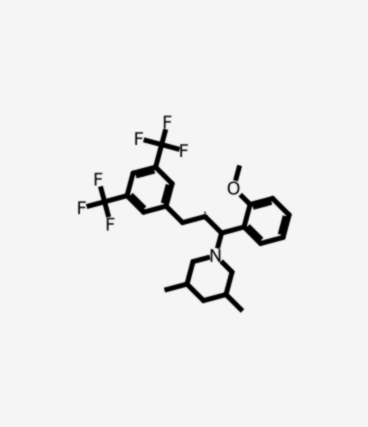 COc1ccccc1C([CH]Cc1cc(C(F)(F)F)cc(C(F)(F)F)c1)N1CC(C)CC(C)C1